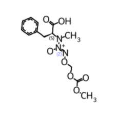 COC(=O)OCO/N=[N+](\[O-])N(C)[C@@H](Cc1ccccc1)C(=O)O